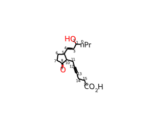 CCCC(O)/C=C/C1CCC(=O)C1CC#CCCC(=O)O